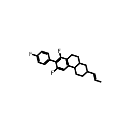 CC=CC1CCC2c3cc(F)c(-c4ccc(F)cc4)c(F)c3CCC2C1